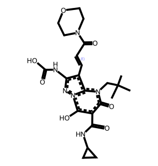 CC(C)(C)Cn1c(=O)c(C(=O)NC2CC2)c(O)n2nc(NC(=O)O)c(/C=C/C(=O)N3CCOCC3)c12